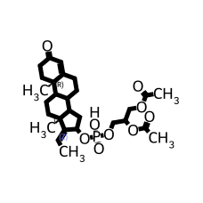 C/C=C1\C(OP(=O)(O)OCC(COC(C)=O)OC(C)=O)CC2C3CCC4=CC(=O)CC[C@]4(C)C3CC[C@]12C